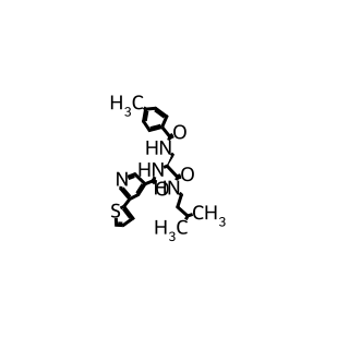 Cc1ccc(C(=O)NC[C@H](NC(=O)c2cncc(-c3cccs3)c2)C(=O)NCCC(C)C)cc1